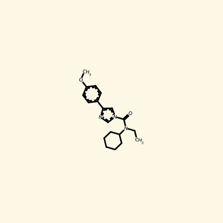 CCN(C(=O)n1cnc(-c2ccc(OC)cc2)c1)C1CCCCC1